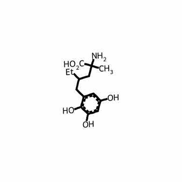 CCC(Cc1cc(O)cc(O)c1O)CC(C)(N)C(=O)O